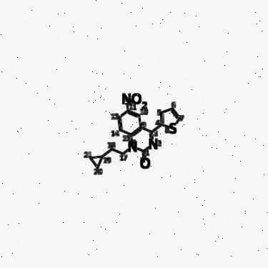 O=c1nc(-c2cccs2)c2cc([N+](=O)[O-])ccc2n1CCC1CC1